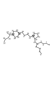 CCCCC(CCCC)CC1CCCN1CCCCN1CCN(C(C)CCC)CC1